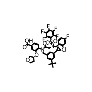 CC(C)(C)c1cc(CN(C(=O)CN(Cc2ccc(F)cc2Cl)S(=O)(=O)c2c(F)c(F)c(F)c(F)c2F)c2ccc(C(=O)O)cc2O[C@H]2CCOC2)cc(C2CC2)c1